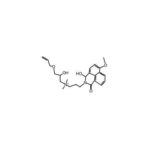 C=CCOCC(O)C[N+](C)(C)CCCN1C(=O)c2cccc3c(OC)ccc(c23)C1O